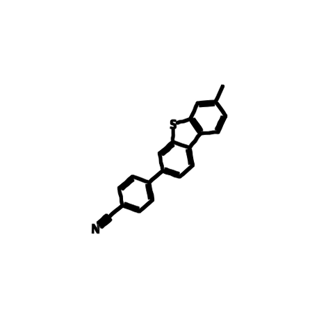 Cc1ccc2c(c1)sc1cc(-c3ccc(C#N)cc3)ccc12